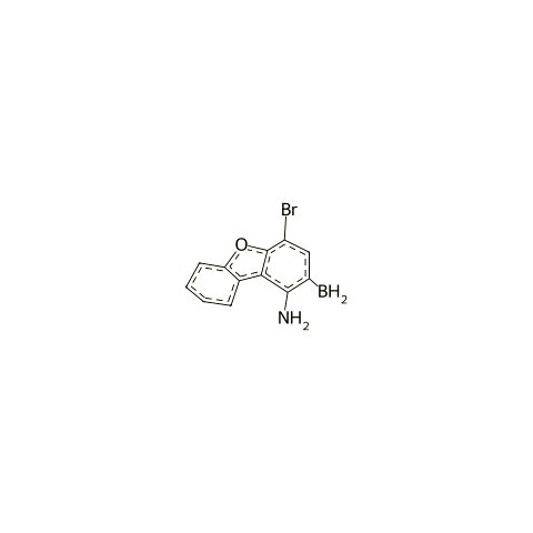 Bc1cc(Br)c2oc3ccccc3c2c1N